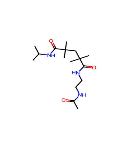 CC(=O)NCCNC(=O)C(C)(C)CC(C)(C)C(=O)NC(C)C